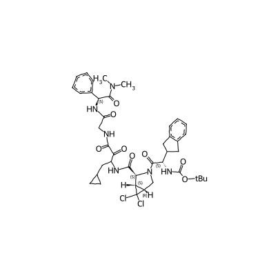 CN(C)C(=O)[C@@H](NC(=O)CNC(=O)C(=O)C(CC1CC1)NC(=O)[C@@H]1[C@@H]2[C@H](CN1C(=O)[C@@H](NC(=O)OC(C)(C)C)C1Cc3ccccc3C1)C2(Cl)Cl)c1ccccc1